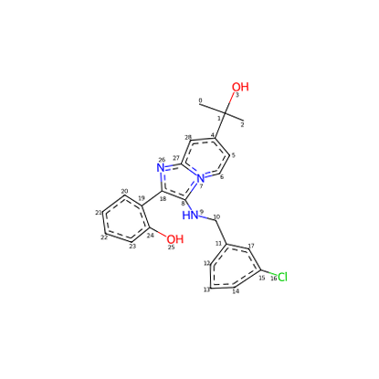 CC(C)(O)c1ccn2c(NCc3cccc(Cl)c3)c(-c3ccccc3O)nc2c1